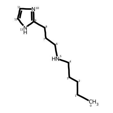 CCCCCNCCCc1ncc[nH]1